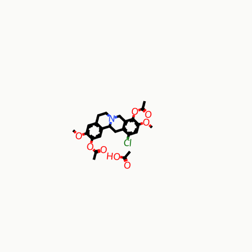 CC(=O)O.COc1cc2c(cc1OC(C)=O)C1Cc3c(Cl)cc(OC)c(OC(C)=O)c3CN1CC2